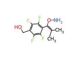 CC(C)=C(ON)c1c(F)c(F)c(CO)c(F)c1F